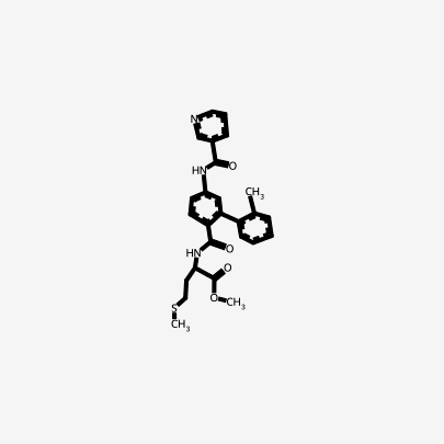 COC(=O)C(CCSC)NC(=O)c1ccc(NC(=O)c2cccnc2)cc1-c1ccccc1C